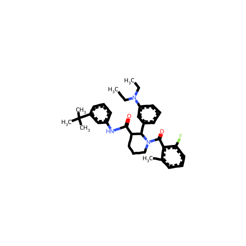 CCN(CC)c1cccc(C2C(C(=O)Nc3cccc(C(C)(C)C)c3)CCCN2C(=O)c2c(C)cccc2F)c1